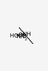 CCCCCCCCCCCC(=O)N[C@@H](CCCCCCC)CCOC[C@@H](N)CO